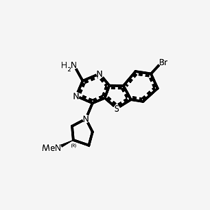 CN[C@@H]1CCN(c2nc(N)nc3c2sc2ccc(Br)cc23)C1